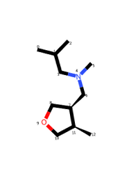 CC(C)CN(C)C[C@@H]1COC[C@@H]1C